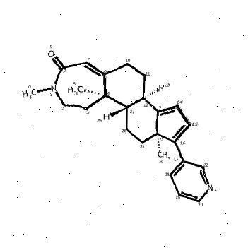 CN1CC[C@@]2(C)C(=CC1=O)CC[C@H]1C3=CC=C(c4cccnc4)[C@@]3(C)CC[C@@H]12